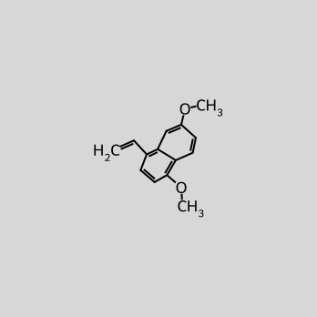 C=Cc1ccc(OC)c2ccc(OC)cc12